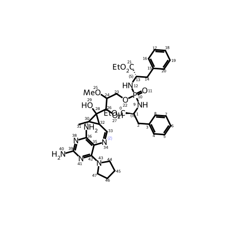 CCOC(=O)[C@H](Cc1ccccc1)NP(=O)(N[C@@H](Cc1ccccc1)C(=O)OCC)OCC(OC)C(O)C1(O)C(C)C1/C=N\c1c(N)nc(N)nc1N1CCCC1